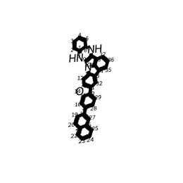 N=C1C=CC=CC1Nc1cn2c3cc4oc5cc(-c6ccc7ccccc7c6)ccc5c4cc3c3cccc1c32